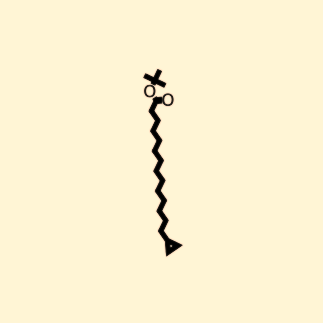 CC(C)(C)OC(=O)CCCCCCCCCCCCCC1CC1